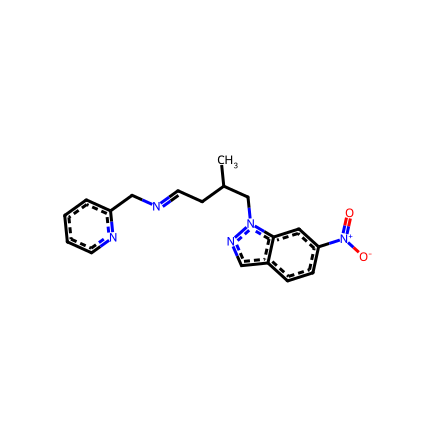 CC(CC=NCc1ccccn1)Cn1ncc2ccc([N+](=O)[O-])cc21